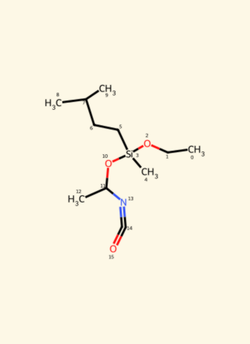 CCO[Si](C)(CCC(C)C)OC(C)N=C=O